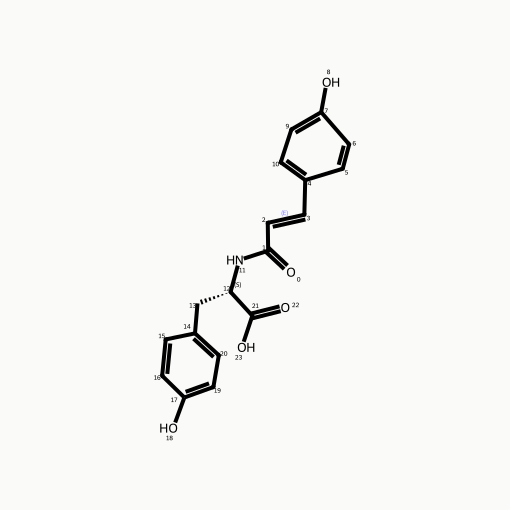 O=C(/C=C/c1ccc(O)cc1)N[C@@H](Cc1ccc(O)cc1)C(=O)O